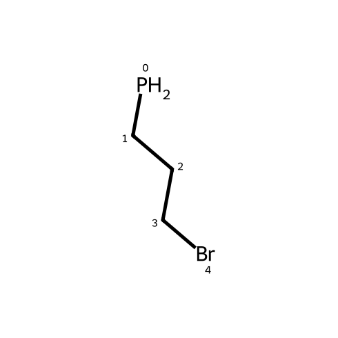 PCCCBr